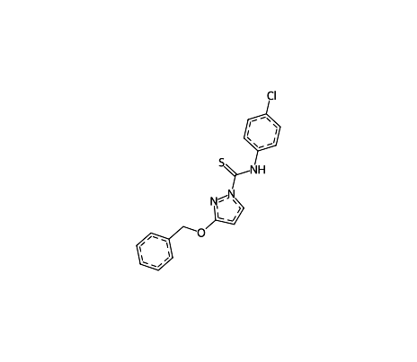 S=C(Nc1ccc(Cl)cc1)n1ccc(OCc2ccccc2)n1